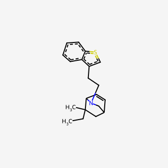 CCC1(C)CC2C=CC1N(CCc1csc3ccccc13)C2